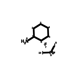 NC1CCCCC1.[F].[I][Pb][I]